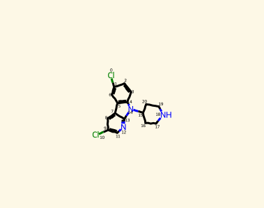 Clc1ccc2c(c1)c1cc(Cl)cnc1n2C1CCNCC1